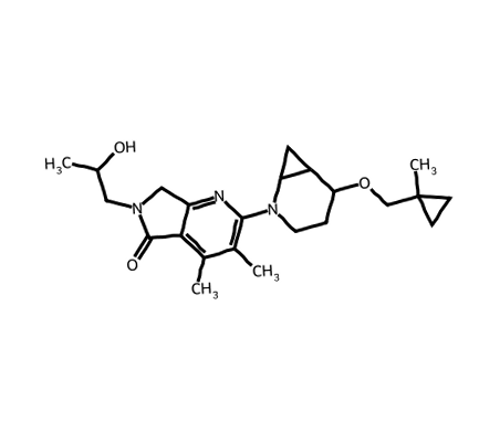 Cc1c(N2CCC(OCC3(C)CC3)C3CC32)nc2c(c1C)C(=O)N(CC(C)O)C2